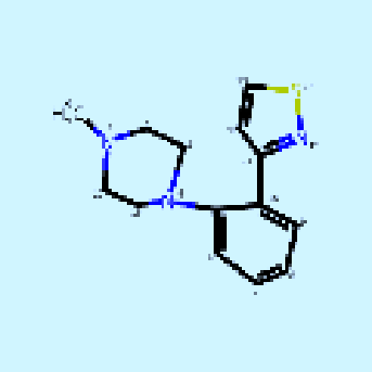 CN1CCN(c2ccccc2-c2c[c]sn2)CC1